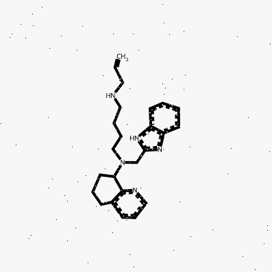 C=CCNCCCCN(Cc1nc2ccccc2[nH]1)C1CCCc2cccnc21